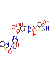 O=C(c1nc2ccccc2s1)N1CCOC2(CCN(CCOc3ccc(CNCC(O)c4ccc(O)c5[nH]c(=O)sc45)cc3)CC2)C1.O=CO